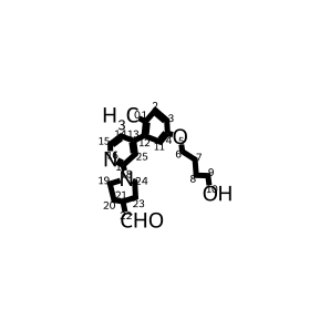 Cc1ccc(OCCCCO)cc1-c1ccnc(N2CCC(C=O)CC2)c1